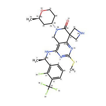 CSc1nc(N[C@H](C)c2cccc(C(F)(F)F)c2F)c2c(n1)C1(CNC1)C(=O)N([C@H]1CCO[C@H](C)C1)C2